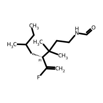 C=C(F)[C@H](CC(C)CC)C(C)(C)CCNC=O